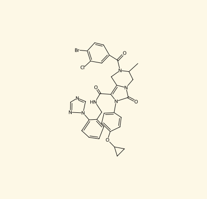 CC1Cn2c(c(C(=O)NCc3ccccc3-n3cncn3)n(-c3ccc(OC4CC4)cc3)c2=O)CN1C(=O)c1ccc(Br)c(Cl)c1